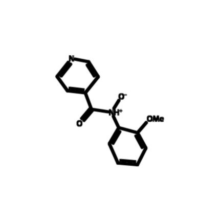 COc1ccccc1[NH+]([O-])C(=O)c1ccncc1